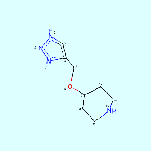 c1[nH]nnc1COC1CCNCC1